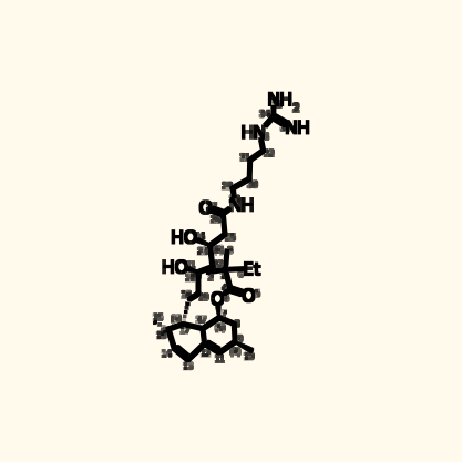 CCC(C)(C)C(=O)O[C@H]1C[C@@H](C)C=C2C=C[C@H](C)[C@H](CC[C@@H](O)C[C@@H](O)CC(=O)NCCCCNC(=N)N)C21